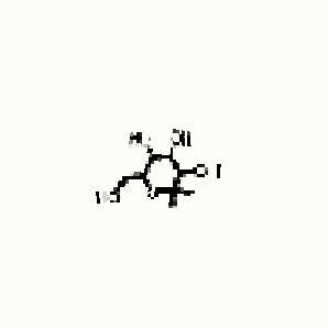 CC1(C)OC(CO)[C@@H](O)[C@H](O)C1O